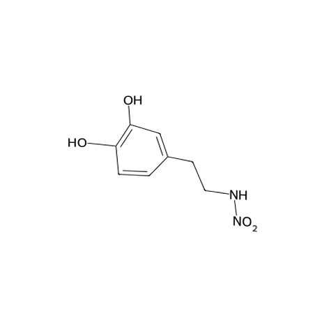 O=[N+]([O-])NCCc1ccc(O)c(O)c1